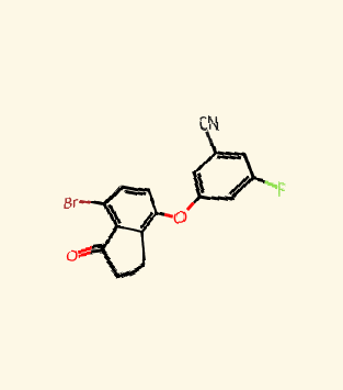 N#Cc1cc(F)cc(Oc2ccc(Br)c3c2CCC3=O)c1